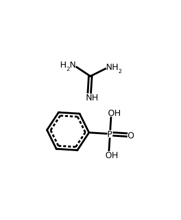 N=C(N)N.O=P(O)(O)c1ccccc1